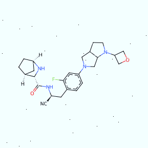 N#C[C@H](Cc1ccc(N2CC3CCN(C4COC4)C3C2)cc1F)NC(=O)[C@H]1N[C@@H]2CC[C@H]1C2